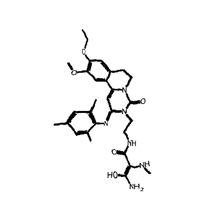 CCOc1cc2c(cc1OC)-c1c/c(=N\c3c(C)cc(C)cc3C)n(CCNC(=O)/C(NC)=C(/N)O)c(=O)n1CC2